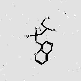 CCC(C)CC(C)(N)OC1=C2OC=CC=C2CC=C1